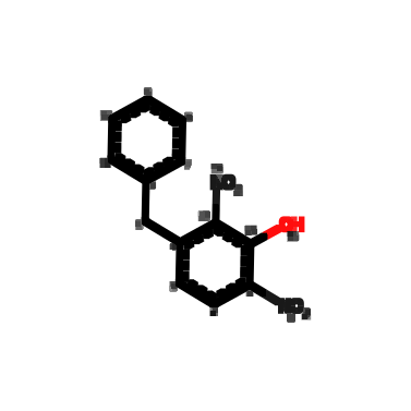 O=[N+]([O-])c1ccc(Cc2ccccc2)c([N+](=O)[O-])c1O